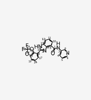 O=C(Nc1cccnc1)c1cccc2[nH]c(-c3cccc4c3OC(F)(F)O4)nc12